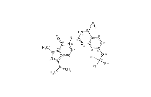 Cc1nn(C(C)C)c2cnn(CC(=O)NC(C)c3ccc(OC(F)(F)F)cc3)c(=O)c12